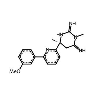 COc1cccc(-c2cccc([C@]3(C)CC(=N)N(C)C(=N)N3)n2)c1